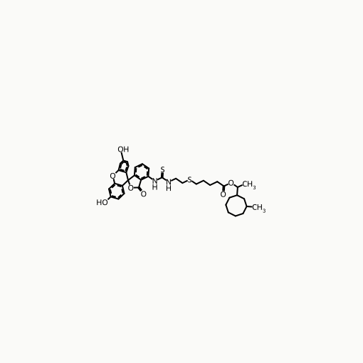 CC1CCCCCC(C(C)OC(=O)CCCCSCCNC(=S)Nc2cccc3c2C(=O)OC32c3ccc(O)cc3Oc3cc(O)ccc32)C1